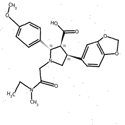 CCN(C)C(=O)CN1C[C@H](c2ccc3c(c2)OCO3)[C@H](C(=O)O)[C@H]1c1ccc(OC)cc1